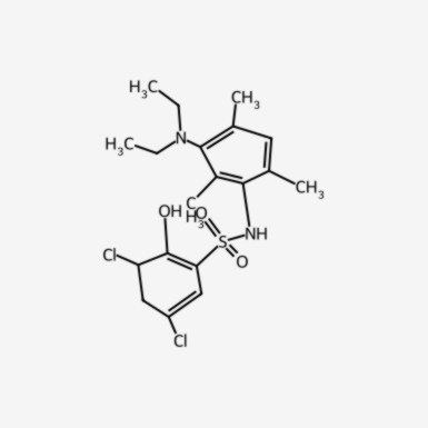 CCN(CC)c1c(C)cc(C)c(NS(=O)(=O)C2=C(O)C(Cl)CC(Cl)=C2)c1C